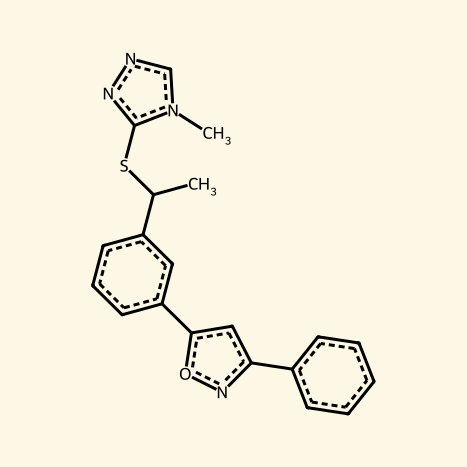 CC(Sc1nncn1C)c1cccc(-c2cc(-c3ccccc3)no2)c1